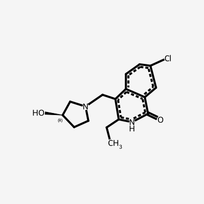 CCc1[nH]c(=O)c2cc(Cl)ccc2c1CN1CC[C@@H](O)C1